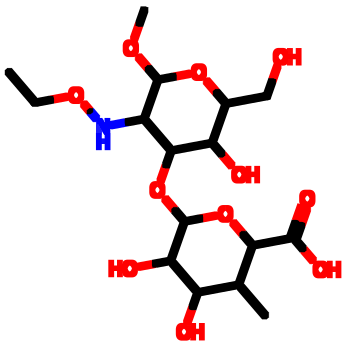 CCONC1C(OC)OC(CO)C(O)C1OC1OC(C(=O)O)C(C)C(O)C1O